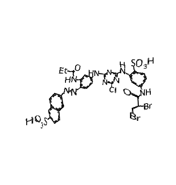 CCC(=O)Nc1cc(Nc2nc(Cl)nc(Nc3cc(NC(=O)C(Br)CBr)ccc3S(=O)(=O)O)n2)ccc1N=Nc1ccc2cc(S(=O)(=O)O)ccc2c1